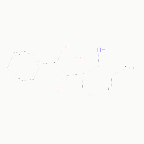 NC1C([N+](=O)[O-])=CC=CC1(O)C(=O)C(O)c1ccccc1